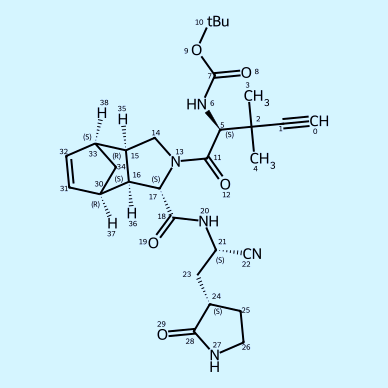 C#CC(C)(C)[C@H](NC(=O)OC(C)(C)C)C(=O)N1C[C@H]2[C@@H]([C@H]1C(=O)N[C@H](C#N)C[C@@H]1CCNC1=O)[C@H]1C=C[C@@H]2C1